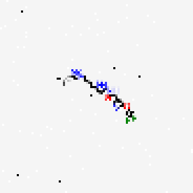 Cc1cn(CCCCc2ccc(NC(=O)Cc3cncc(OC4CC(F)(F)C4)c3)nn2)nn1